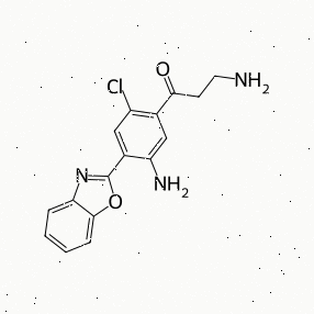 NCCC(=O)c1cc(N)c(-c2nc3ccccc3o2)cc1Cl